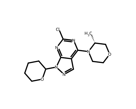 C[C@@H]1COCCN1c1nc(Cl)nc2c1cnn2C1CCCCO1